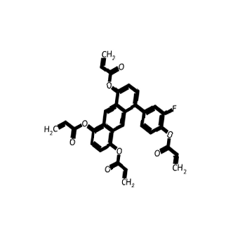 C=CC(=O)Oc1ccc(-c2ccc(OC(=O)C=C)c3cc4c(OC(=O)C=C)ccc(OC(=O)C=C)c4cc23)cc1F